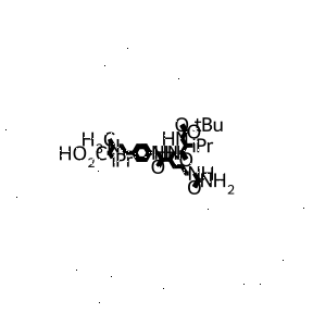 CC(C)C(NC(=O)OC(C)(C)C)C(=O)NC(CCCNC(N)=O)C(=O)Nc1ccc(CCN(C)C(C(=O)O)C(C)C)cc1